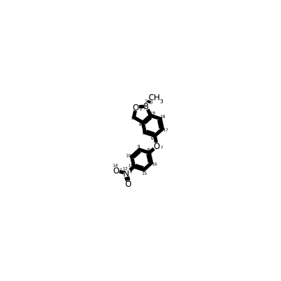 CB1OCc2cc(Oc3ccc([N+](=O)[O-])cc3)ccc21